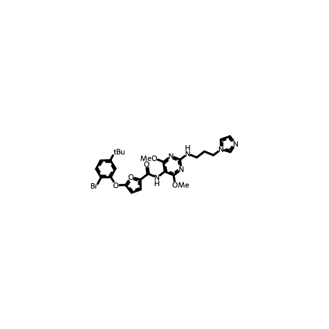 COc1nc(NCCCn2ccnc2)nc(OC)c1NC(=O)c1ccc(Oc2cc(C(C)(C)C)ccc2Br)o1